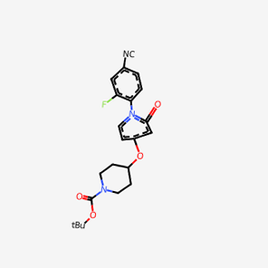 [C-]#[N+]c1ccc(-n2ccc(OC3CCN(C(=O)OC(C)(C)C)CC3)cc2=O)c(F)c1